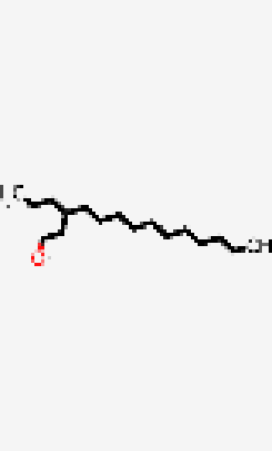 CCCCCCCCCCCC(CCC)CC[O]